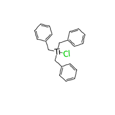 [Cl][Ti]([CH2]c1ccccc1)([CH2]c1ccccc1)[CH2]c1ccccc1